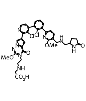 COc1nc(-c2cccc(-c3ccnc(-c4cc5c(=O)n(CCNCC(=O)O)c(OC)nn5c4)c3Cl)c2Cl)ccc1CNCC1CCC(=O)N1